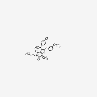 Cn1c(=O)n(CCCO)c(=O)c2c(C(O)c3ccc(Cl)cc3)c(Cc3cccc(OC(F)(F)F)c3)sc21